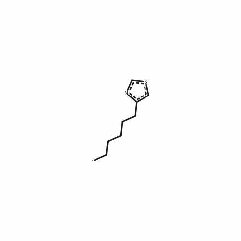 [CH2]CCCCCc1cscn1